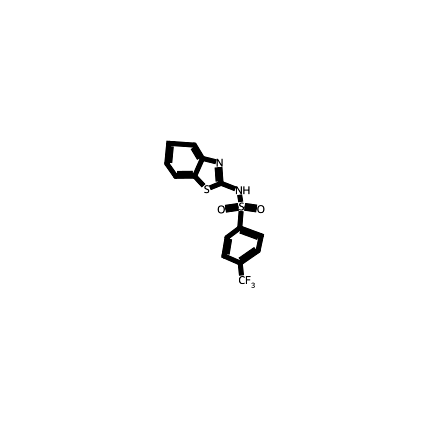 O=S(=O)(Nc1nc2ccccc2s1)c1ccc(C(F)(F)F)cc1